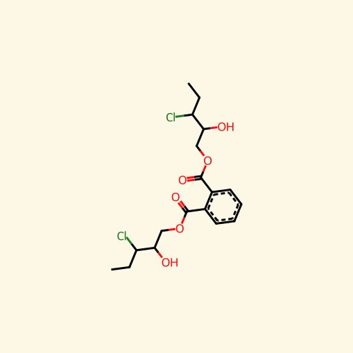 CCC(Cl)C(O)COC(=O)c1ccccc1C(=O)OCC(O)C(Cl)CC